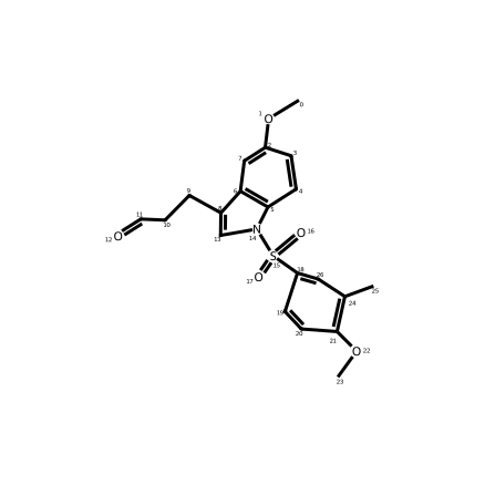 COc1ccc2c(c1)c(CCC=O)cn2S(=O)(=O)c1ccc(OC)c(C)c1